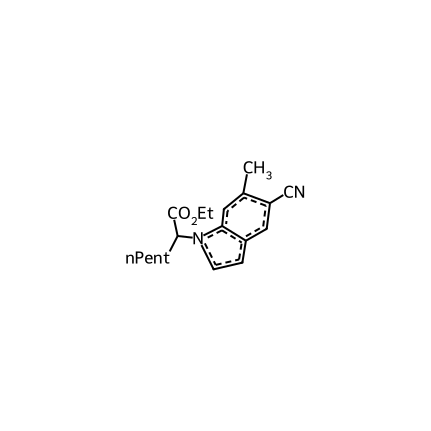 CCCCCC(C(=O)OCC)n1ccc2cc(C#N)c(C)cc21